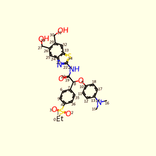 CCS(=O)(=O)c1ccc(C(Oc2ccc(N(C)C)cc2)C(=O)Nc2nc3cc(CO)c(CO)cc3s2)cc1